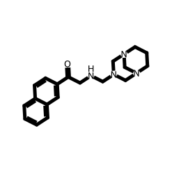 O=C(CNCN1CN2CCCN(C2)C1)c1ccc2ccccc2c1